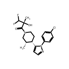 C[C@@H]1CN(C(=O)[C@@](C)(O)C(F)F)CC[C@@H]1c1ccnn1-c1ccc(Cl)cc1